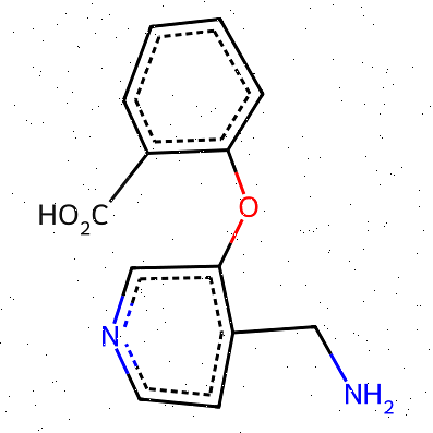 NCc1ccncc1Oc1ccccc1C(=O)O